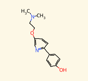 CN(C)CCOc1ccc(-c2ccc(O)cc2)nc1